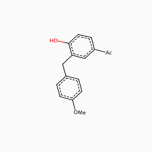 COc1ccc(Cc2cc(C(C)=O)ccc2O)cc1